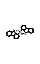 CO[Si](OC)(c1cccc2c1Cc1ccccc1-2)c1cccc2c1Cc1ccccc1-2